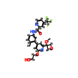 COC1(c2cc(-c3cc(NC(=O)c4cc(C(F)(F)F)ccn4)ccc3C)cc(OCCO)n2)COC1